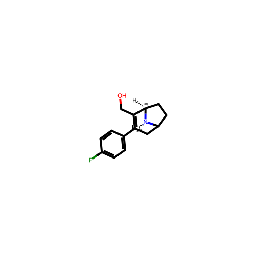 CN1C2CC[C@@H]1C(CO)=C(c1ccc(F)cc1)C2